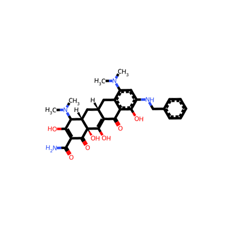 CN(C)c1cc(NCc2ccccc2)c(O)c2c1C[C@H]1C[C@H]3C(N(C)C)C(O)=C(C(N)=O)C(=O)[C@@]3(O)C(O)=C1C2=O